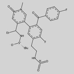 CCC(N[S@@+]([O-])C(C)(C)C)c1cc(=O)n(C)cc1-c1cc(CCN[SH](=O)=O)c(F)cc1C(=O)c1ccc(F)cc1